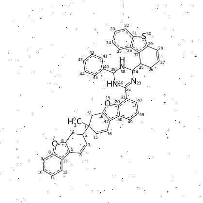 CC1(C2C=Cc3c(oc4ccccc34)C2)C=Cc2c(oc3c(C4=NC(C5CC=Cc6sc7ccccc7c65)NC(c5ccccc5)N4)cccc23)C1